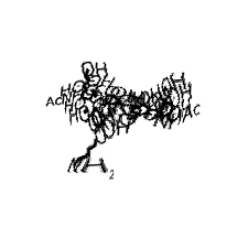 CC(=O)NC1[C@H](O[C@@H]2[C@H](O)[C@@H](O)[C@H](O[C@H]3[C@H](O)[C@@H](CO[C@]4(C(=O)O)C[C@H](O)[C@@H](NC(C)=O)[C@H]([C@H](O)[C@H](O)CO)O4)O[C@@H](O[C@H]4[C@@H](O)[C@@H](CO)O[C@@H](OCCCCCN)[C@@H]4O)[C@@H]3NC(C)=O)O[C@@H]2CO)O[C@H](CO)[C@H](O)[C@@H]1O